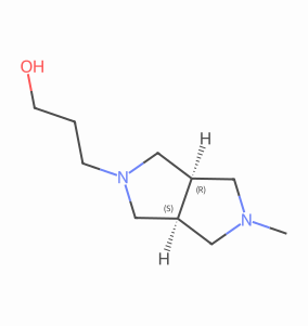 CN1C[C@@H]2CN(CCCO)C[C@@H]2C1